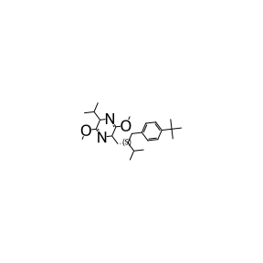 COC1=NC(C(C)C)C(OC)=NC1C[C@H](Cc1ccc(C(C)(C)C)cc1)C(C)C